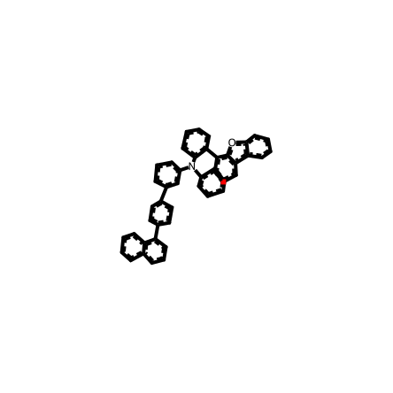 c1ccc(N(c2cccc(-c3ccc(-c4cccc5ccccc45)cc3)c2)c2ccccc2-c2cccc3c2oc2ccccc23)cc1